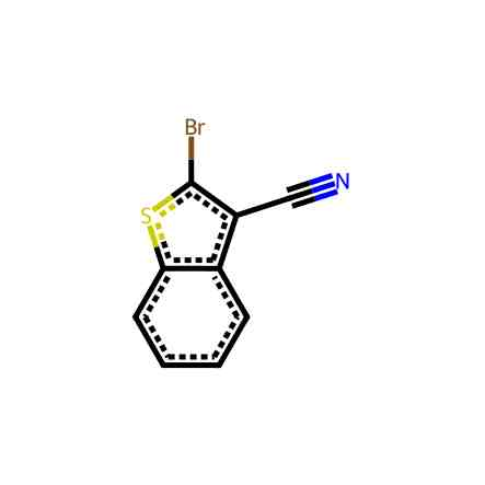 N#Cc1c(Br)sc2ccccc12